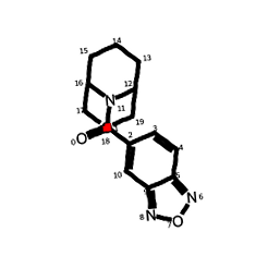 O=C(c1ccc2nonc2c1)N1C2CCCC1COC2